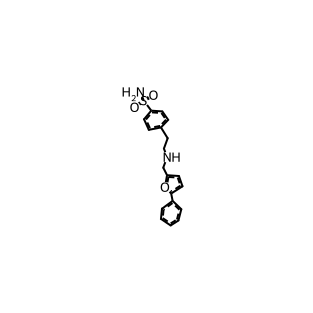 NS(=O)(=O)c1ccc(CCNCc2ccc(-c3ccccc3)o2)cc1